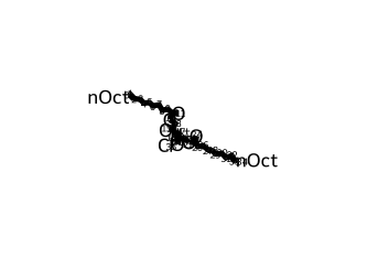 CCCCCCCCC=CCCCCCCCC(=O)OCC(=O)[N+](C)(C)C(=O)COC(=O)CCCCCCCC=CCCCCCCCC.[Cl-]